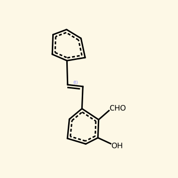 O=Cc1c(O)cccc1/C=C/c1ccccc1